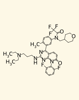 CCN(CC)CCCNc1nc(-c2cc(N(CC3CCOCC3)C(=O)C(F)(F)F)ccc2C)c2ccc(=O)n(-c3c(F)cccc3F)c2n1